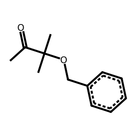 CC(=O)C(C)(C)OCc1ccccc1